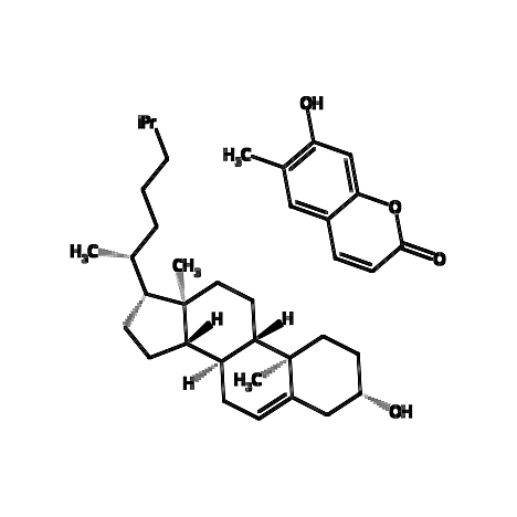 CC(C)CCC[C@@H](C)[C@H]1CC[C@H]2[C@@H]3CC=C4C[C@@H](O)CC[C@]4(C)[C@H]3CC[C@]12C.Cc1cc2ccc(=O)oc2cc1O